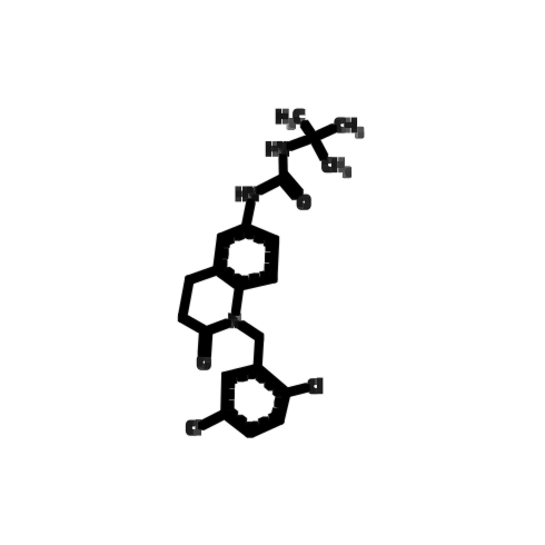 CC(C)(C)NC(=O)Nc1ccc2c(c1)CCC(=O)N2Cc1cc(Cl)ccc1Cl